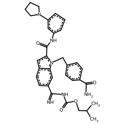 CC(C)COC(=O)NC(=N)c1ccc2cc(C(=O)Nc3cccc(N4CCCC4)c3)n(Cc3ccc(C(N)=O)cc3)c2c1